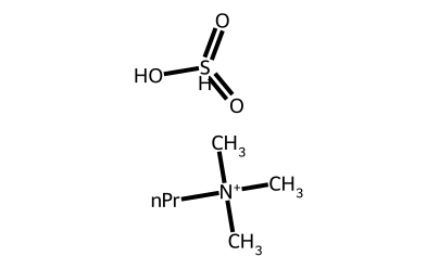 CCC[N+](C)(C)C.O=[SH](=O)O